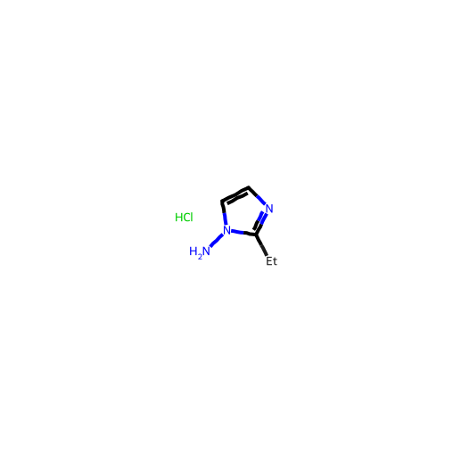 CCc1nccn1N.Cl